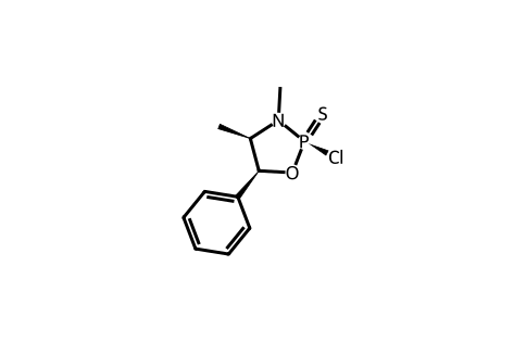 C[C@@H]1[C@H](c2ccccc2)O[P@](=S)(Cl)N1C